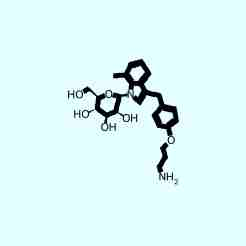 Cc1cccc2c(Cc3ccc(OCCCN)cc3)cn([C@@H]3O[C@H](CO)[C@@H](O)[C@H](O)[C@H]3O)c12